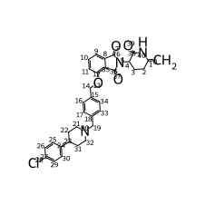 C=C1CCC(N2C(=O)c3cccc(OCc4ccc(CN5CCC(c6ccc(Cl)cc6)CC5)cc4)c3C2=O)C(=O)N1